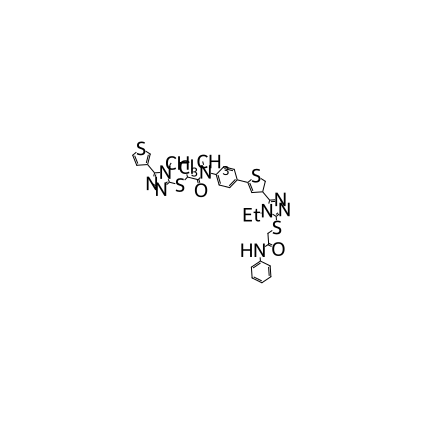 CCn1c(SCC(=O)Nc2ccccc2)nnc1C1C=C(c2ccc(N(C)C(=O)C(Cl)Sc3nnc(-c4ccsc4)n3C)cc2)SC1